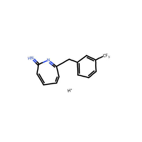 N=c1ccccc(Cc2cccc(C(F)(F)F)c2)n1.[H+]